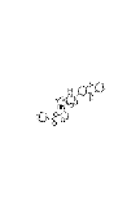 CC(C)C[C@H](NC(=O)c1ccc2c(c1)Nc1ccccc1S2)C(=O)NC1CCOC1OC(=O)N1CCOCC1